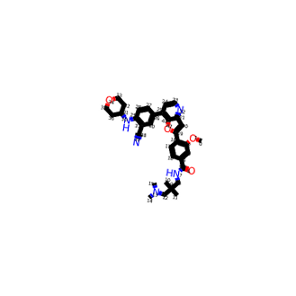 COc1cc(C(=O)NCC(C)(C)CN(C)C)ccc1-c1cc2nccc(-c3ccc(NC4CCOCC4)c(C#N)c3)c2o1